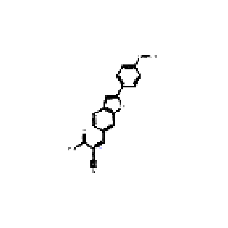 COc1ccc(-c2cc3ccc(/C=C(/C#N)C(=O)O)cc3o2)cc1